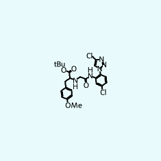 COc1ccc(CC(NCC(=O)Nc2cc(Cl)ccc2-n2cc(Cl)nn2)C(=O)OC(C)(C)C)cc1